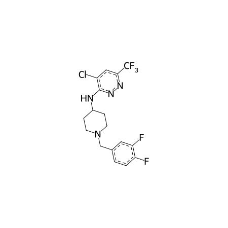 Fc1ccc(CN2CCC(Nc3nnc(C(F)(F)F)cc3Cl)CC2)cc1F